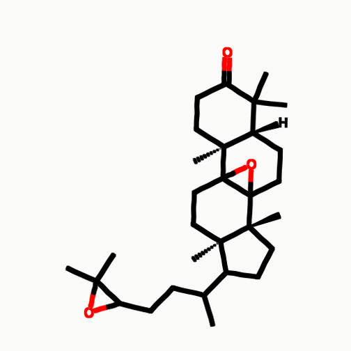 CC(CCC1OC1(C)C)C1CC[C@@]2(C)C34CC[C@H]5C(C)(C)C(=O)CC[C@]5(C)C3(CC[C@]12C)O4